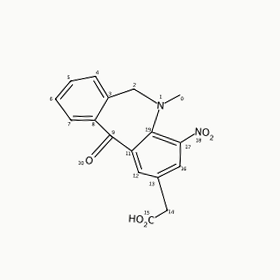 CN1Cc2ccccc2C(=O)c2cc(CC(=O)O)cc([N+](=O)[O-])c21